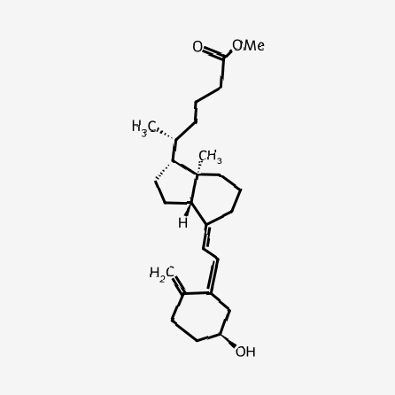 C=C1CC[C@H](O)C/C1=C/C=C1\CCC[C@]2(C)[C@@H]([C@H](C)CCCC(=O)OC)CC[C@@H]12